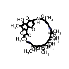 CO[C@H]1[C@H](C)[C@H](O)[C@H](C)C(O)[C@@H](C)/C=C/C=C(/C)C(=O)NC2=CC(=O)c3c(c(O)c(C)c4c3C(=O)[C@@](C)(O/C=C/[C@H](OC)[C@H]1C)O4)C2=O